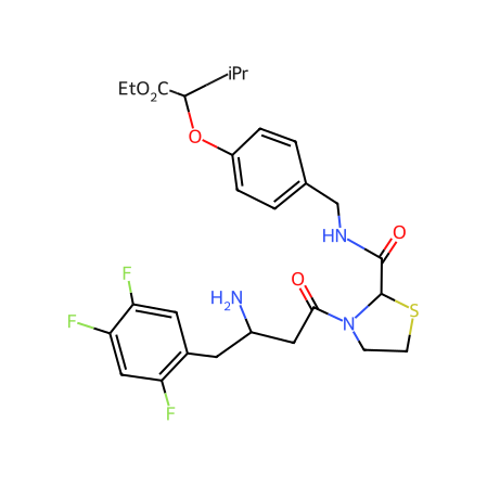 CCOC(=O)C(Oc1ccc(CNC(=O)C2SCCN2C(=O)CC(N)Cc2cc(F)c(F)cc2F)cc1)C(C)C